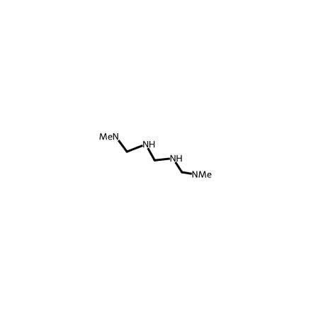 CNCNCNCNC